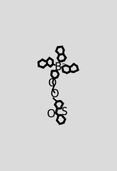 O=c1c2ccccc2sc2ccc(COCCOc3ccc([B-](c4ccc5ccccc5c4)(c4ccc5ccccc5c4)c4ccc5ccccc5c4)cc3)cc12